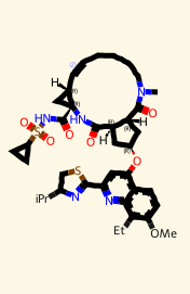 CCc1c(OC)ccc2c(O[C@@H]3C[C@H]4C(=O)N[C@]5(C(=O)NS(=O)(=O)C6CC6)C[C@@H]5/C=C\CCCCN(C)C(=O)[C@@H]4C3)cc(C3=NC(C(C)C)CS3)nc12